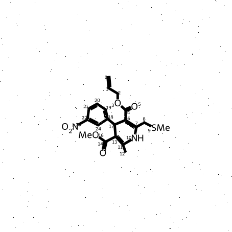 C=CCOC(=O)C1=C(CSC)NC(C)=C(C(=O)OC)C1c1cccc([N+](=O)[O-])c1